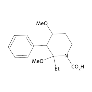 CCC1(OC)C(c2ccccc2)C(OC)CCN1C(=O)O